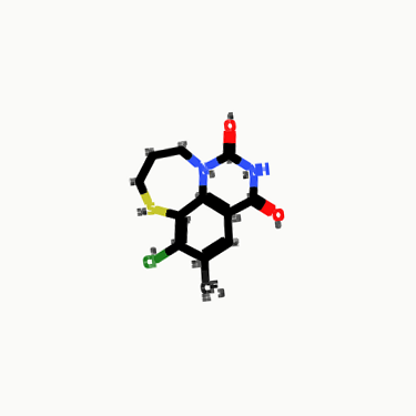 O=c1[nH]c(=O)n2c3c(c(Cl)c(C(F)(F)F)cc13)SCCC2